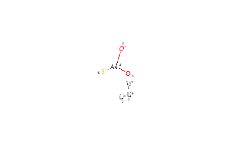 [Li+].[Li+].[Li+].[O-][As]([O-])[S-]